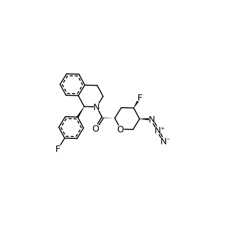 [N-]=[N+]=N[C@H]1CO[C@H](C(=O)N2CCc3ccccc3[C@@H]2c2ccc(F)cc2)C[C@H]1F